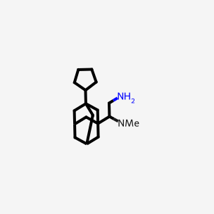 CNC(CN)C12CC3CC(CC(C4CCCC4)(C3)C1)C2